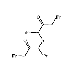 CC(C)CC(=O)C(SC(C(=O)CC(C)C)C(C)C)C(C)C